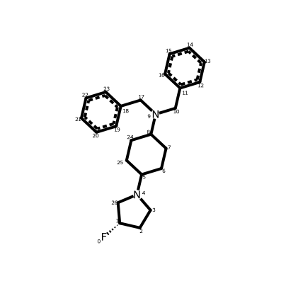 F[C@H]1CCN(C2CCC(N(Cc3ccccc3)Cc3ccccc3)CC2)C1